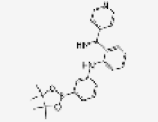 CC1(C)OB(c2cccc(Nc3ccccc3C(=N)c3ccncc3)c2)OC1(C)C